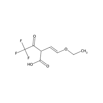 CCOC=CC(C(=O)O)C(=O)C(F)(F)F